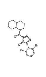 O=C(N1CCCC2CCCCC21)n1nnn(-c2c(F)cccc2Br)c1=O